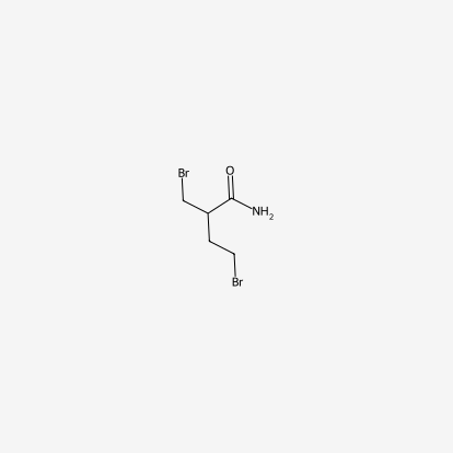 NC(=O)C(CBr)CCBr